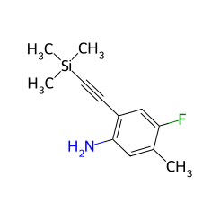 Cc1cc(N)c(C#C[Si](C)(C)C)cc1F